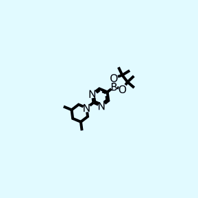 CC1CC(C)CN(c2ncc(B3OC(C)(C)C(C)(C)O3)cn2)C1